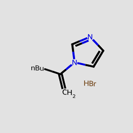 Br.C=C(CCCC)n1ccnc1